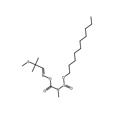 CCCCCCCCCCOS(=O)N(C)C(=O)ON=CC(C)(C)SC